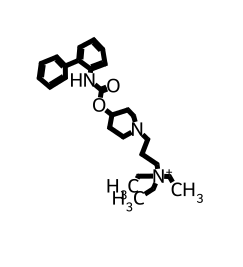 CC[N+](CC)(CC)CCCN1CCC(OC(=O)Nc2ccccc2-c2ccccc2)CC1